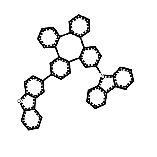 c1ccc2c(c1)-c1ccccc1-c1cc(-c3ccc4oc5ccccc5c4c3)ccc1-c1cc(-n3c4ccccc4c4ccccc43)ccc1-2